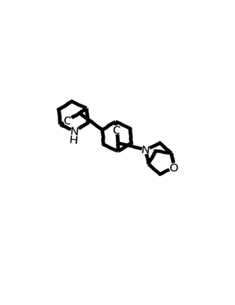 C1CC2CNC1CC2C1CC2CCC1CC2N1CC2CC1CO2